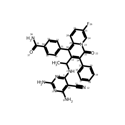 CC(Nc1nc(N)nc(N)c1C#N)c1c(-c2ccccc2)c(=O)n2cc(F)ccc2c1-c1ccc(C(N)=O)cc1